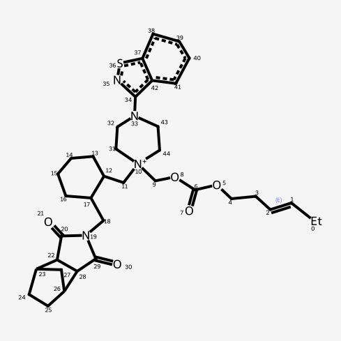 CC/C=C/CCOC(=O)OC[N+]1(CC2CCCCC2CN2C(=O)C3C4CCC(C4)C3C2=O)CCN(c2nsc3ccccc23)CC1